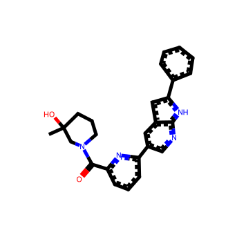 CC1(O)CCCN(C(=O)c2cccc(-c3cnc4[nH]c(-c5ccccc5)cc4c3)n2)C1